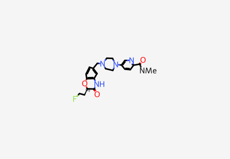 CNC(=O)c1ccc(N2CCN(Cc3ccc4c(c3)NC(=O)[C@@H](CCF)O4)CC2)cn1